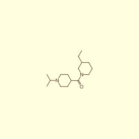 CCC1CCCN(C(=O)C2CCN(C(C)C)CC2)C1